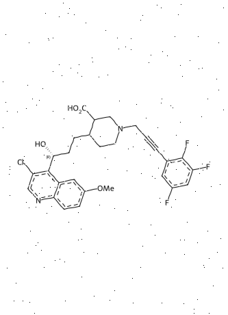 COc1ccc2ncc(Cl)c([C@H](O)CCC3CCN(CC#Cc4cc(F)cc(F)c4F)CC3C(=O)O)c2c1